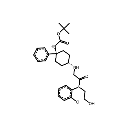 CC(C)(C)OC(=O)N[C@]1(c2ccccc2)CC[C@@H](NCC(=O)N(CCO)c2ccccc2Cl)CC1